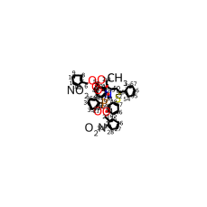 C[C@H](OC(=O)OCc1ccccc1[N+](=O)[O-])C1C(=O)N(CP(C(=O)OCc2ccccc2[N+](=O)[O-])(c2ccccc2)(c2ccccc2)c2ccccc2)C1CC(=S)c1ccccc1